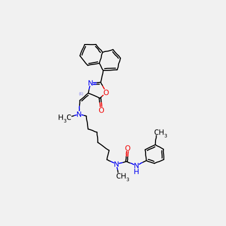 Cc1cccc(NC(=O)N(C)CCCCCCN(C)/C=C2/N=C(c3cccc4ccccc34)OC2=O)c1